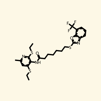 CCSc1cc(C)nc(SCC)c1NC(=O)CCCCCCSc1nc2cccc(C(F)(F)F)c2o1